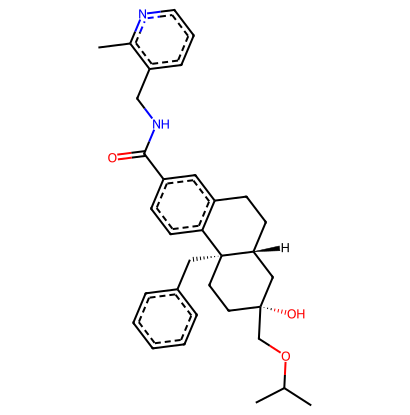 Cc1ncccc1CNC(=O)c1ccc2c(c1)CC[C@@H]1C[C@@](O)(COC(C)C)CC[C@@]21Cc1ccccc1